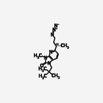 C[C@@H](CCN=[N+]=[N-])c1ccc2c(n1)n(C)c(=O)n2CC(C)(C)C